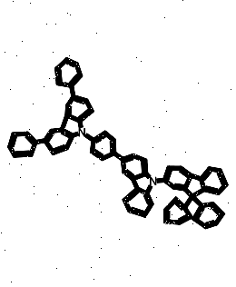 c1ccc(-c2ccc3c(c2)c2cc(-c4ccccc4)ccc2n3-c2ccc(-c3ccc4c(c3)c3ccccc3n4-c3ccc4c(c3)C(c3ccccc3)(c3ccccc3)c3ccccc3-4)cc2)cc1